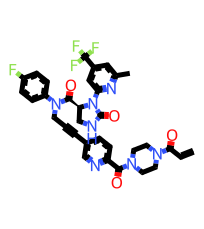 C=CC(=O)N1CCN(C(=O)c2ccc(C#CCN(C(=O)[C@@H]3CNC(=O)N3c3cc(C(F)(F)F)cc(C)n3)c3ccc(F)cc3)cn2)CC1